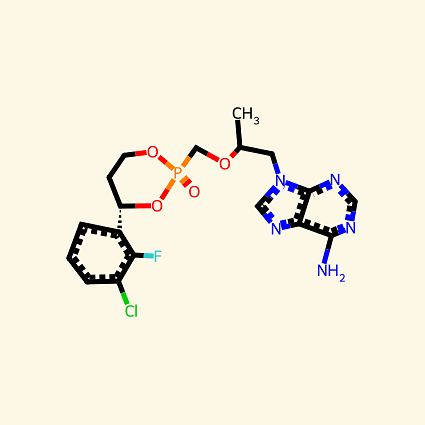 CC(Cn1cnc2c(N)ncnc21)OCP1(=O)OCC[C@@H](c2cccc(Cl)c2F)O1